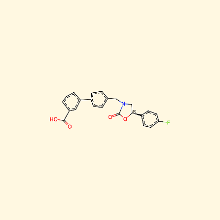 O=C(O)c1cccc(-c2ccc(CN3C[C@@H](c4ccc(F)cc4)OC3=O)cc2)c1